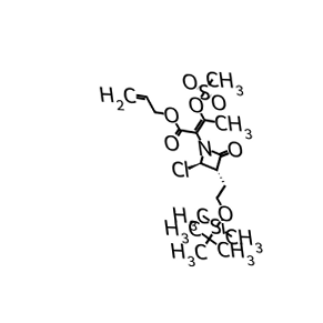 C=CCOC(=O)/C(=C(/C)OS(C)(=O)=O)N1C(=O)[C@H](CCO[Si](C)(C)C(C)(C)C)[C@H]1Cl